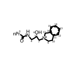 CCCC(=O)NC[C@H](O)CN1CCc2ccccc2C1